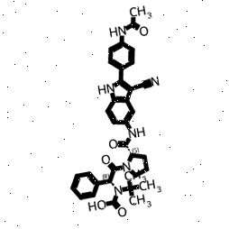 CC(=O)Nc1ccc(-c2[nH]c3ccc(NC(=O)[C@@H]4CCCN4C(=O)[C@@H](c4ccccc4)N(C(=O)O)C(C)(C)C)cc3c2C#N)cc1